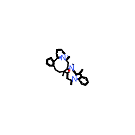 C=NC1(C)CC(=C)[n+]2ccccc2-c2ccccc2CCC1(C)/C(C)=C/C(=C)n1c(=C)c(=C)c2ccccc21